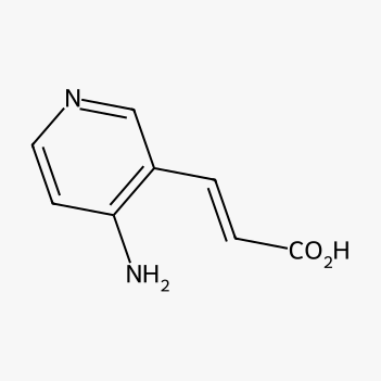 Nc1ccncc1/C=C/C(=O)O